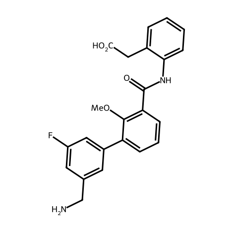 COc1c(C(=O)Nc2ccccc2CC(=O)O)cccc1-c1cc(F)cc(CN)c1